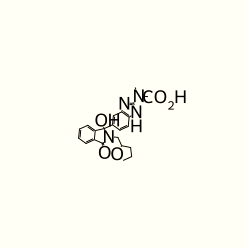 CN(C(=O)O)c1nc2cc(C3(O)c4ccccc4C(=O)N3CC3CCCO3)ccc2[nH]1